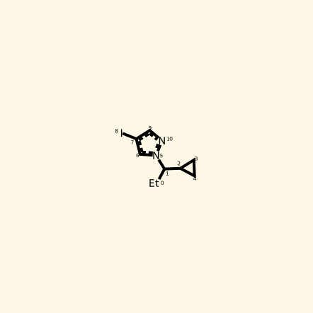 CCC(C1CC1)n1cc(I)cn1